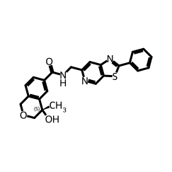 C[C@@]1(O)COCc2ccc(C(=O)NCc3cc4nc(-c5ccccc5)sc4cn3)cc21